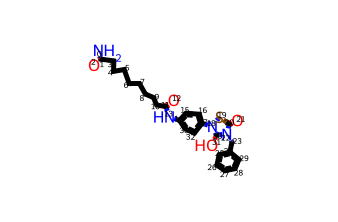 NC(=O)CCCCCCCCC(=O)Nc1ccc(N2SC(=O)N(Cc3ccccc3)C2O)cc1